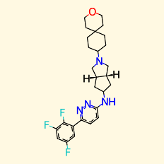 Fc1cc(F)c(F)c(-c2ccc(NC3C[C@@H]4CN(C5CCC6(CCOCC6)CC5)C[C@@H]4C3)nn2)c1